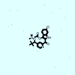 CC(=O)Oc1c(C(=O)c2cc(C(O[SiH](C)C)C(C)(C)C)ccn2)[nH]c2cc(Cl)ccc12